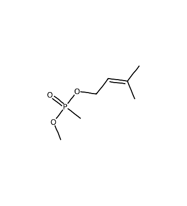 COP(C)(=O)OCC=C(C)C